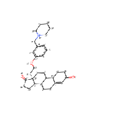 O=C1C=C2CCC3C(CC[C@]4(CCOc5cccc(CN6CCCCC6)c5)C(=O)CCC34)C2CC1